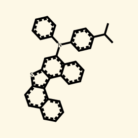 CC(C)c1ccc(N(c2ccccc2)c2cc3sc4ccc5ccccc5c4c3c3ccccc23)cc1